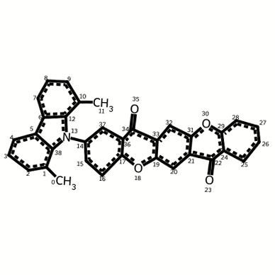 Cc1cccc2c3cccc(C)c3n(-c3ccc4oc5cc6c(=O)c7ccccc7oc6cc5c(=O)c4c3)c12